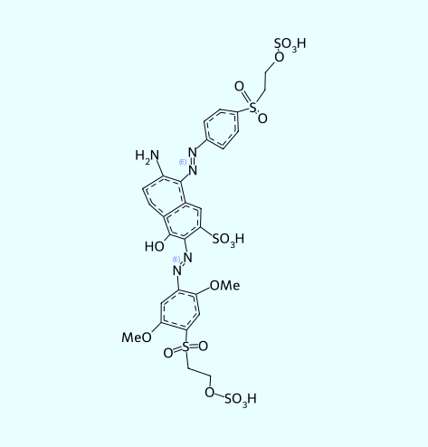 COc1cc(S(=O)(=O)CCOS(=O)(=O)O)c(OC)cc1/N=N/c1c(S(=O)(=O)O)cc2c(/N=N/c3ccc(S(=O)(=O)CCOS(=O)(=O)O)cc3)c(N)ccc2c1O